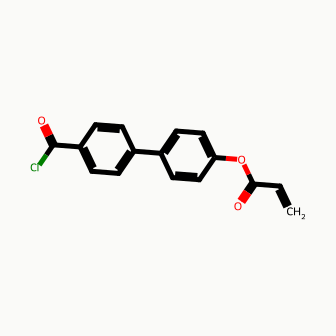 C=CC(=O)Oc1ccc(-c2ccc(C(=O)Cl)cc2)cc1